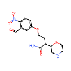 NC(=O)C(CCOc1ccc([N+](=O)[O-])c(C=O)c1)C1CNCCO1